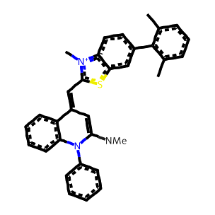 CNC1=CC(=Cc2sc3cc(-c4c(C)cccc4C)ccc3[n+]2C)c2ccccc2N1c1ccccc1